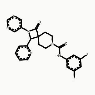 O=C(Nc1cc(F)cc(F)c1)N1CCC2(CC1)C(=O)N(c1cncnc1)C2c1ccccn1